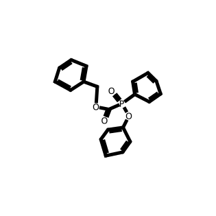 O=C(OCc1ccccc1)P(=O)(Oc1ccccc1)c1ccccc1